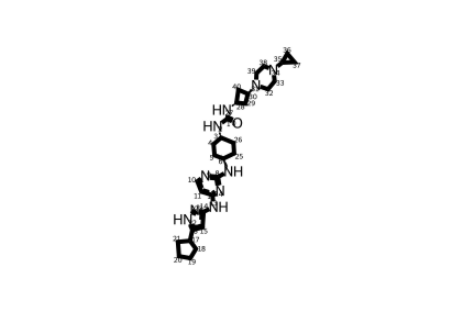 O=C(N[C@H]1CC[C@H](Nc2nccc(Nc3cc(C4CCCC4)[nH]n3)n2)CC1)N[C@H]1C[C@H](N2CCN(C3CC3)CC2)C1